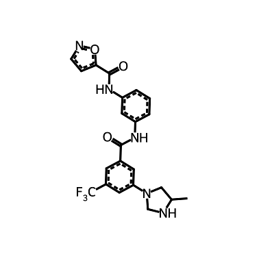 CC1CN(c2cc(C(=O)Nc3cccc(NC(=O)c4ccno4)c3)cc(C(F)(F)F)c2)CN1